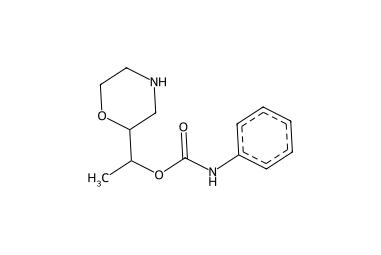 CC(OC(=O)Nc1ccccc1)C1CNCCO1